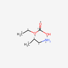 CCCN.CCOC(=O)O